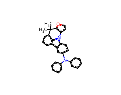 CC1(C)c2occc2-n2c3ccc(N(c4ccccc4)c4ccccc4)cc3c3cccc1c32